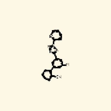 N#Cc1ccccc1-c1cc(Cl)cc(-c2nnn(-c3ccccn3)n2)c1